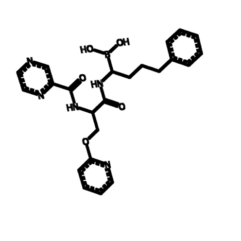 O=C(NC(COc1ccccn1)C(=O)NC(CCCc1ccccc1)B(O)O)c1cnccn1